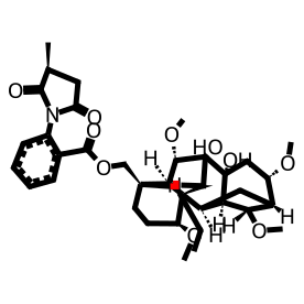 CCN1C[C@]2(COC(=O)c3ccccc3N3C(=O)C[C@H](C)C3=O)CC[C@H](OC)[C@]34C1[C@](O)([C@@H](OC)[C@H]23)[C@@]1(O)C[C@H](OC)[C@H]2C[C@@H]4[C@@H]1[C@H]2OC